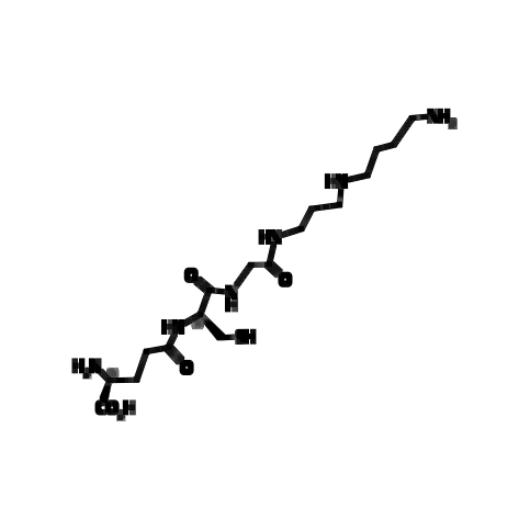 NCCCCNCCCNC(=O)CNC(=O)[C@@H](CS)NC(=O)CC[C@H](N)C(=O)O